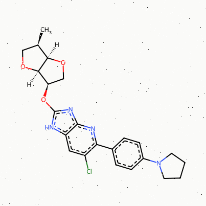 C[C@@H]1CO[C@H]2[C@@H]1OC[C@H]2Oc1nc2nc(-c3ccc(N4CCCC4)cc3)c(Cl)cc2[nH]1